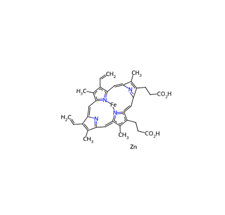 C=CC1=C(C)C2=NC/1=C\c1c(C)c(C=C)c3[n]1[Fe][n]1/c(c(C)c(CCC(=O)O)/c1=C/C1=NC(=C\3)/C(C)=C1CCC(=O)O)=C\2.[Zn]